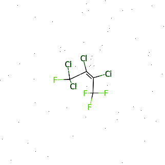 FC(F)(F)/C(Cl)=C(/Cl)C(F)(Cl)Cl